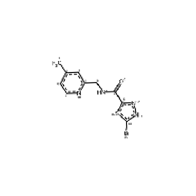 O=C(NCc1cc(C(F)(F)F)ccn1)c1nnc(Br)s1